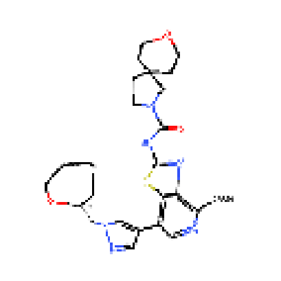 COc1ncc(-c2cnn(C[C@H]3CCCCO3)c2)c2sc(NC(=O)N3CCC4(CCOCC4)C3)nc12